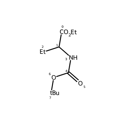 CCOC(=O)C(CC)NC(=O)OC(C)(C)C